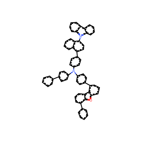 c1ccc(-c2ccc(N(c3ccc(-c4ccc(-n5c6ccccc6c6ccccc65)c5ccccc45)cc3)c3ccc(-c4cccc5oc6c(-c7ccccc7)cccc6c45)cc3)cc2)cc1